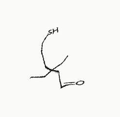 CC(C)(C=O)CS